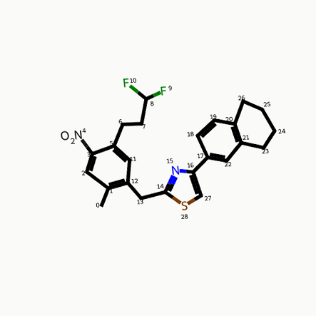 Cc1cc([N+](=O)[O-])c(CCC(F)F)cc1Cc1nc(-c2ccc3c(c2)CCCC3)cs1